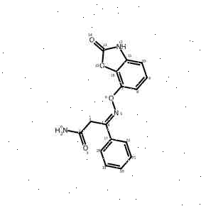 NC(=O)C/C(=N\Oc1cccc2[nH]c(=O)oc12)c1ccccc1